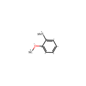 CSc1ccccc1OC#N